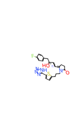 O=C1CC[C@H](/C=C/[C@@H](O)Cc2ccc(F)cc2)N1CCCc1ccc(-c2nnn[nH]2)s1